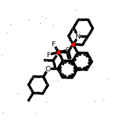 CC1CCC(Oc2ccc3cccc(CN4C5CCCC4CC(C(=O)OC(C)C)C5)c3c2C(F)(F)F)CC1